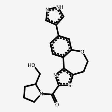 O=C(c1nc2c(s1)CCOc1cc(-c3cn[nH]c3)ccc1-2)N1CCCC1CO